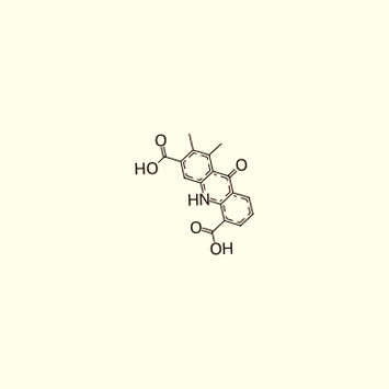 Cc1c(C(=O)O)cc2[nH]c3c(C(=O)O)cccc3c(=O)c2c1C